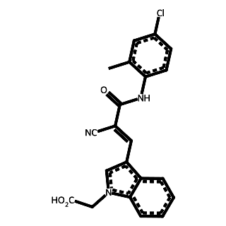 Cc1cc(Cl)ccc1NC(=O)/C(C#N)=C/c1cn(CC(=O)O)c2ccccc12